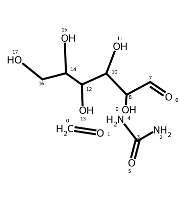 C=O.NC(N)=O.O=CC(O)C(O)C(O)C(O)CO